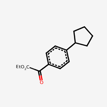 CCOC(=O)C(=O)c1ccc(C2CCCC2)cc1